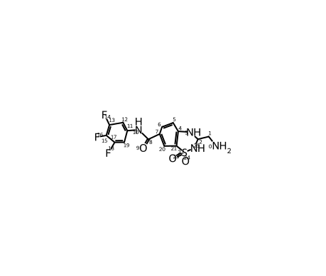 NCC1Nc2ccc(C(=O)Nc3cc(F)c(F)c(F)c3)cc2S(=O)(=O)N1